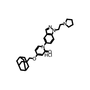 Cl.O=c1cc(OCC23CC4CC(CC(C4)C2)C3)ccn1-c1ccc2c(cnn2CCN2CCCC2)c1